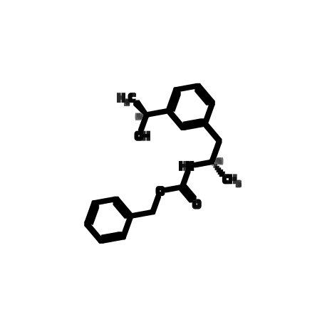 C[C@H](O)c1cccc(C[C@H](C)NC(=O)OCc2ccccc2)c1